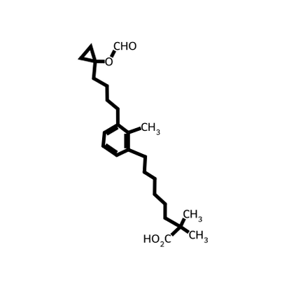 Cc1c(CCCCCCC(C)(C)C(=O)O)cccc1CCCCC1(OC=O)CC1